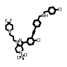 CS(=O)(=O)N1CCc2c(c(-c3ccc(Cl)c(C#Cc4ccc(CNCc5ccc(Cl)cc5)cc4)c3)nn2CCCN2CCC(F)(F)CC2)C1